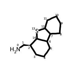 NC[C@@H]1CCCC2C3CCCCC3SC21